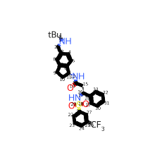 CC(C)(C)NCc1ccc2c(c1)CC[C@H]2NC(=O)C[C@@H](NS(=O)(=O)c1cccc(C(F)(F)F)c1)c1ccccc1